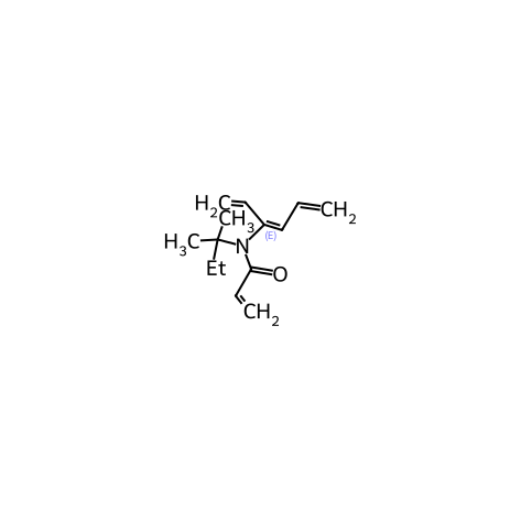 C=C/C=C(\C=C)N(C(=O)C=C)C(C)(C)CC